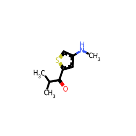 CNc1csc(C(=O)C(C)C)c1